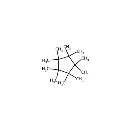 CC1(C)C(C)(C)C(C)(C)C(C)(C)C1(C)C